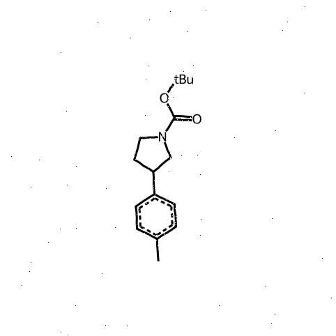 Cc1ccc(C2CCN(C(=O)OC(C)(C)C)C2)cc1